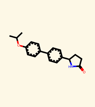 CC(C)Oc1ccc(-c2ccc(C3CCC(=O)N3)cc2)cc1